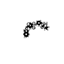 CC(C)(C)OC(=O)N[C@@H]1CC[C@H](COc2coc(CN3Cc4ccccc4C3)cc2=O)C1